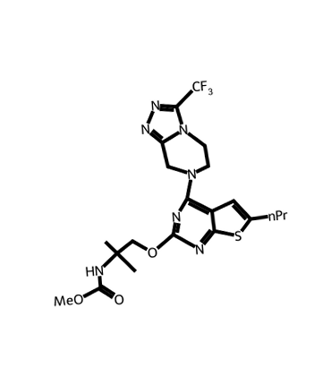 CCCc1cc2c(N3CCn4c(nnc4C(F)(F)F)C3)nc(OCC(C)(C)NC(=O)OC)nc2s1